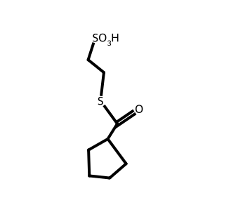 O=C(SCCS(=O)(=O)O)C1CCCC1